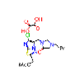 COCc1nn2c(CN3CN(CC(C)C)CC3=O)c(Cl)nc2s1.O=C(O)C(=O)O